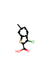 Cc1ccc2c(Cl)c(C(=O)O)sc2c1